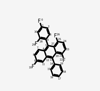 Fc1ccc(-c2c3ccc(F)cc3c(-c3ccccc3)c3c(F)ccc(F)c23)c(F)c1